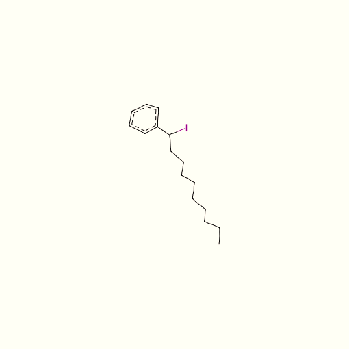 CCCCCCCCCC(I)c1ccccc1